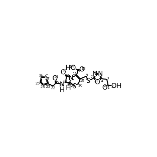 O=C(O)Cc1nnc(SCC2=C(C(=O)O)N3C(=O)C(NC(=O)Cc4cccs4)[C@H]3SC2)o1